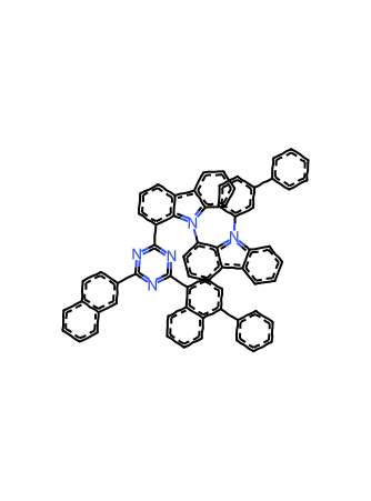 c1ccc(-c2cccc(-n3c4ccccc4c4cccc(-n5c6ccccc6c6cccc(-c7nc(-c8ccc9ccccc9c8)nc(-c8ccc(-c9ccccc9)c9ccccc89)n7)c65)c43)c2)cc1